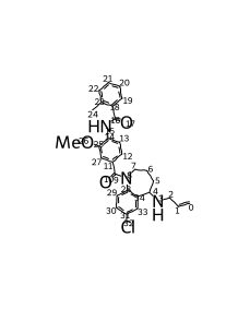 C=CCNC1CCCN(C(=O)c2ccc(NC(=O)c3ccccc3C)c(OC)c2)c2ccc(Cl)cc21